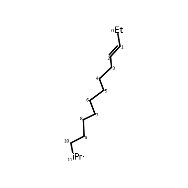 CC/C=C/CCCCCCCC[C](C)C